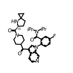 CC(C)N(C(=O)c1cc(F)ccc1-n1cc(C(=O)C2CCN(C(=O)[C@@H]3CCC4(CC4)N3)CC2)c2ccncc21)C(C)C